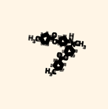 Cc1ccc(C(=O)Oc2ccc(NN(C)c3ccc(OC(=O)c4ccc(C)cc4)cc3)cc2)cc1